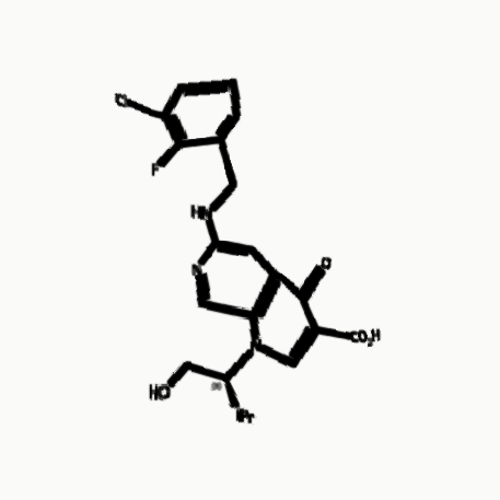 CC(C)[C@@H](CO)n1cc(C(=O)O)c(=O)c2cc(NCc3cccc(Cl)c3F)ncc21